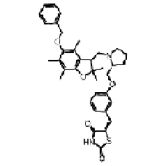 Cc1c(C)c2c(c(C)c1OCc1ccccc1)C(CN1CCC[C@H]1COc1cccc(C=C3SC(=O)NC3=O)c1)C(C)(C)O2